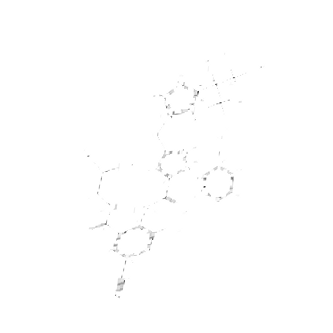 Cc1cc(C#N)cc(C(=O)NCC(F)F)c1NC(=O)c1cc(Cn2nnc(C(F)(C(F)(F)F)C(F)(F)F)n2)nn1-c1ncccc1Cl